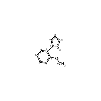 COc1ccccc1-c1cc[c]s1